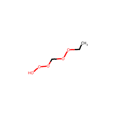 CCOOCOOO